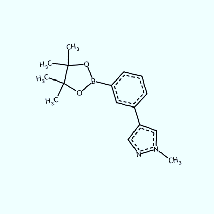 Cn1cc(-c2cccc(B3OC(C)(C)C(C)(C)O3)c2)cn1